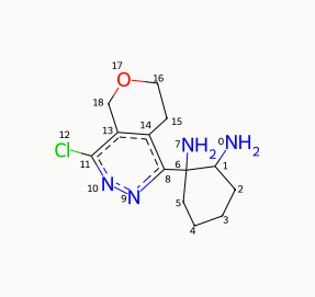 NC1CCCCC1(N)c1nnc(Cl)c2c1CCOC2